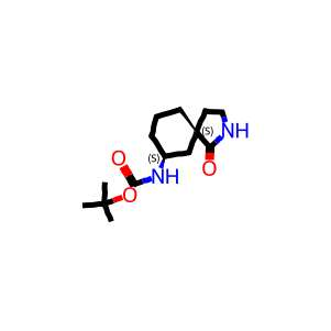 CC(C)(C)OC(=O)N[C@H]1CCC[C@]2(CCNC2=O)C1